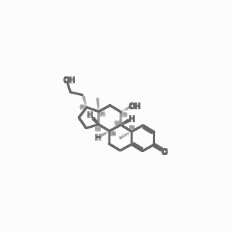 C[C@]12C[C@H](O)[C@H]3[C@@H](CCC4=CC(=O)C=C[C@@]43C)[C@@H]1CC[C@@H]2CCO